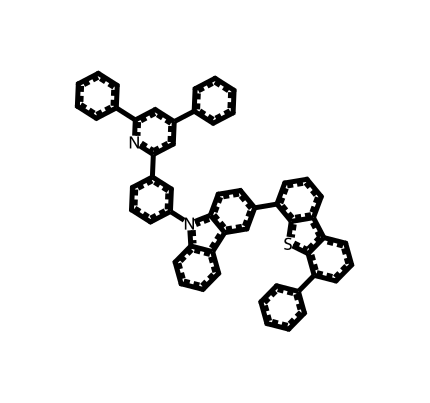 c1ccc(-c2cc(-c3ccccc3)nc(-c3cccc(-n4c5ccccc5c5cc(-c6cccc7c6sc6c(-c8ccccc8)cccc67)ccc54)c3)c2)cc1